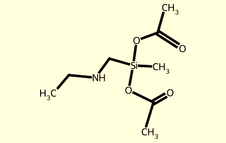 CCNC[Si](C)(OC(C)=O)OC(C)=O